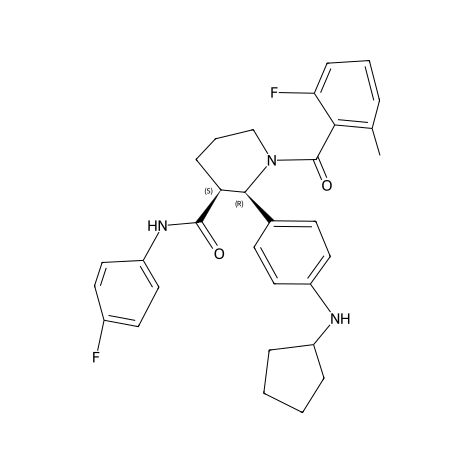 Cc1cccc(F)c1C(=O)N1CCC[C@H](C(=O)Nc2ccc(F)cc2)[C@@H]1c1ccc(NC2CCCC2)cc1